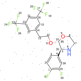 Fc1ccc([C@@H]2NCCO[C@H]2OCCc2cc(C(F)(F)F)cc(C(F)(F)F)c2)cc1F